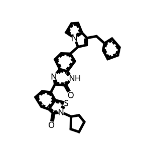 O=c1[nH]c2cc(C3C=C(Cc4ccccc4)c4cccn43)ccc2nc1-c1cccc2c(=O)n(C3CCCC3)sc12